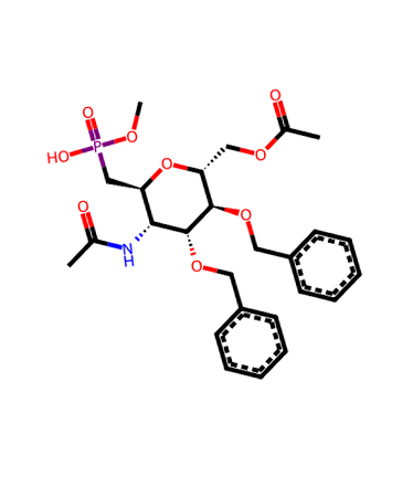 COP(=O)(O)C[C@H]1O[C@H](COC(C)=O)[C@@H](OCc2ccccc2)[C@H](OCc2ccccc2)[C@@H]1NC(C)=O